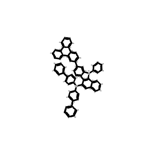 c1ccc(-c2ccc(N(c3ccc(-c4ccccc4)cc3)c3cc4ccccc4c4c3c3ccc(-c5ccc6c7ccccc7c7ccccc7c6c5)cc3n4-c3ccccc3)cc2)cc1